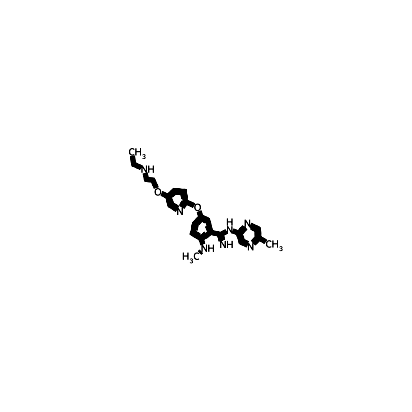 CCNCCOc1ccc(Oc2ccc(NC)c(C(=N)Nc3cnc(C)cn3)c2)nc1